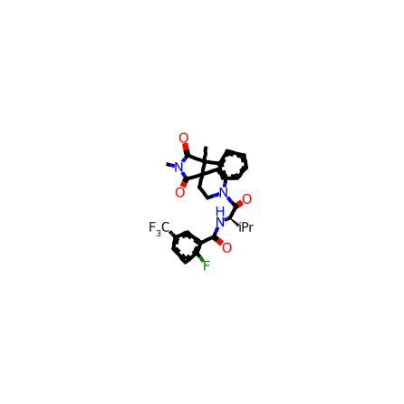 CC(C)[C@@H](NC(=O)c1cc(C(F)(F)F)ccc1F)C(=O)N1CCC2(CC1)C(=O)N(C)C(=O)C2(C)c1ccccc1